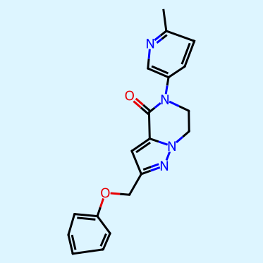 Cc1ccc(N2CCn3nc(COc4ccccc4)cc3C2=O)cn1